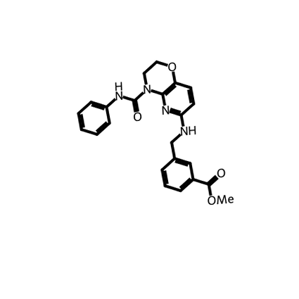 COC(=O)c1cccc(CNc2ccc3c(n2)N(C(=O)Nc2ccccc2)CCO3)c1